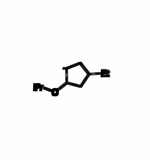 [CH2]CC1C[CH]C(OC(C)C)C1